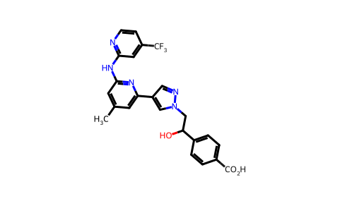 Cc1cc(Nc2cc(C(F)(F)F)ccn2)nc(-c2cnn(CC(O)c3ccc(C(=O)O)cc3)c2)c1